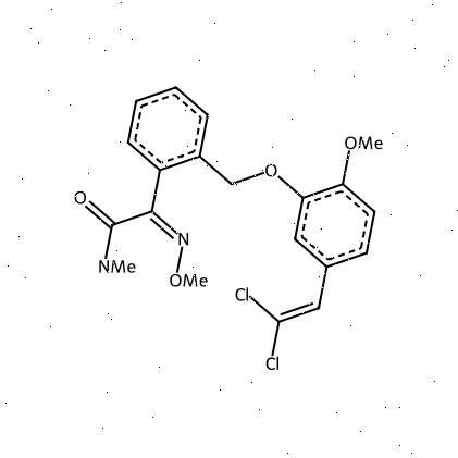 CNC(=O)C(=NOC)c1ccccc1COc1cc(C=C(Cl)Cl)ccc1OC